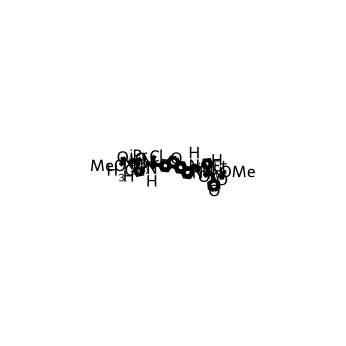 CC[C@H]1CC[C@@H](c2nc3ccc4cc5c(cc4c3[nH]2)OCc2cc(-c3[nH]c([C@@H]4CC[C@H](C)N4C(=O)[C@@H](NC(=O)OC)C(C)C)nc3Cl)ccc2-5)N1C(=O)[C@@H](NC(=O)OC)C1CCOCC1